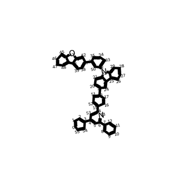 c1ccc(-c2cc(-c3ccccc3)nc(-c3ccc(-c4ccc5c(c4)c4ccccc4n5-c4cccc(-c5ccc6c(c5)oc5ccccc56)c4)cc3)c2)cc1